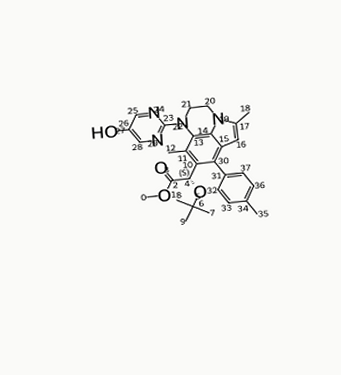 COC(=O)[C@@H](OC(C)(C)C)c1c(C)c2c3c(cc(C)n3CCN2c2ncc(O)cn2)c1-c1ccc(C)cc1